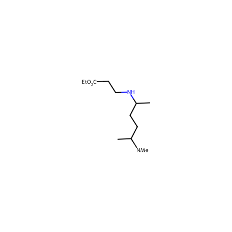 CCOC(=O)CCNC(C)CCC(C)NC